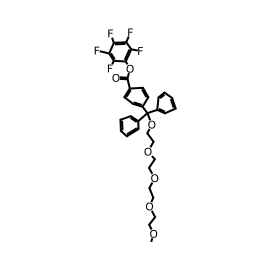 COCCOCCOCCOCCOC(c1ccccc1)(c1ccccc1)c1ccc(C(=O)Oc2c(F)c(F)c(F)c(F)c2F)cc1